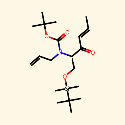 C=CCN(C(=O)OC(C)(C)C)[C@H](CO[Si](C)(C)C(C)(C)C)C(=O)/C=C/C